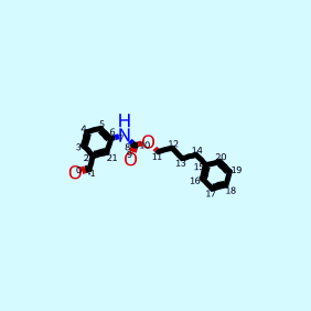 O=[C]c1cccc(NC(=O)OCCCCc2ccccc2)c1